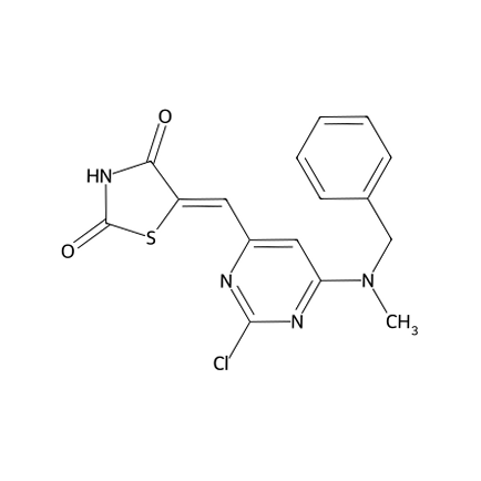 CN(Cc1ccccc1)c1cc(C=C2SC(=O)NC2=O)nc(Cl)n1